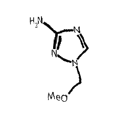 COCn1cnc(N)n1